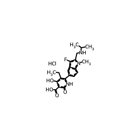 CCc1c(-c2ccc3c(c2)c(F)c(CNC(C)C)n3C)[nH]c(=O)c(C(=O)O)c1O.Cl